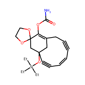 CC[Si](CC)(CC)OC12C#C/C=C\C#CCC(=C(OC(N)=O)C3(C1)OCCO3)C2